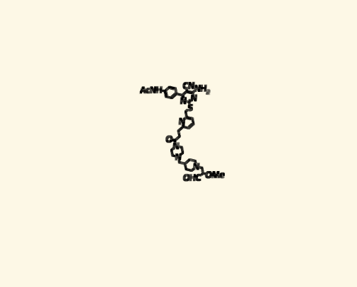 COC(C=O)CN1CCC(CN2CCN(C(=O)CCc3cccc(CSc4nc(N)c(C#N)c(-c5ccc(NC(C)=O)cc5)n4)n3)CC2)CC1